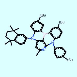 Cc1cc2c3c(n1)N(c1ccc(C(C)(C)C)cc1)c1ccc(C(C)(C)C)cc1B3c1cc(C(C)(C)C)ccc1N2c1ccc2c(c1)C(C)(C)CCC2(C)C